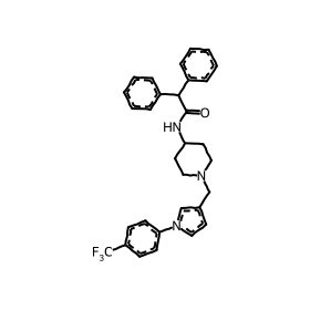 O=C(NC1CCN(Cc2ccn(-c3ccc(C(F)(F)F)cc3)c2)CC1)C(c1ccccc1)c1ccccc1